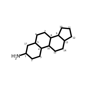 NC1CCC2C(CCC3C4CCCC4CCC23)C1